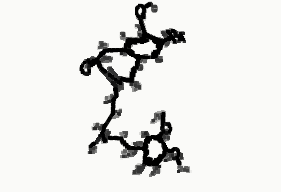 COc1cc2c(cc1Br)CCN(CCCN(C)CCc1ccc(OC)c(OC)c1)C(=O)C2